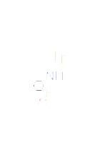 FC1(F)CCC(NCc2cccc(C3(F)COC3)c2)CC1